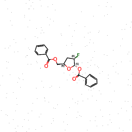 O=C(OC[C@H]1C[C@@H](F)[C@H](OC(=O)c2ccccc2)O1)c1ccccc1